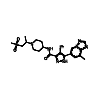 Cc1cc(-c2[nH]nc(C(=O)NC3CCN(C(C)CS(C)(=O)=O)CC3)c2C(C)C)cn2ncnc12